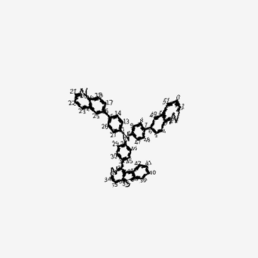 c1cnc2ccc(-c3ccc(N(c4ccc(-c5ccc6ncccc6c5)cc4)c4ccc(-c5nccc6sc7ccccc7c56)cc4)cc3)cc2c1